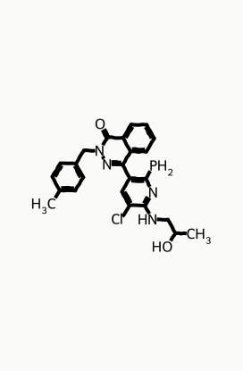 Cc1ccc(Cn2nc(-c3cc(Cl)c(NCC(C)O)nc3P)c3ccccc3c2=O)cc1